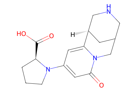 O=C(O)[C@@H]1CCCN1c1cc2n(c(=O)c1)CC1CNC[C@H]2C1